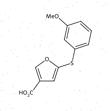 COc1cccc(Sc2cc(C(=O)O)co2)c1